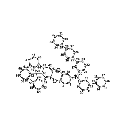 C1=C2Oc3ccc(N(c4cccc(-c5ccccc5)c4)c4cccc(-c5ccc(-c6ccccc6)cc5)c4)cc3OC2=CC2c3ccccc3C3(c4ccccc4-c4ccccc43)C12